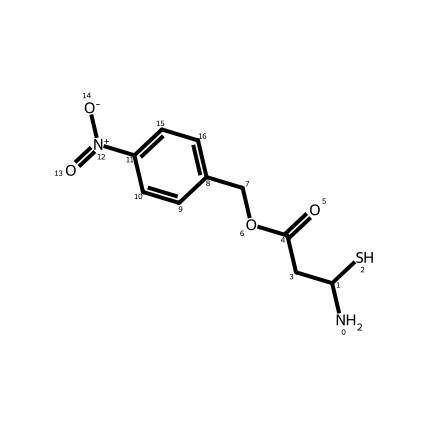 NC(S)CC(=O)OCc1ccc([N+](=O)[O-])cc1